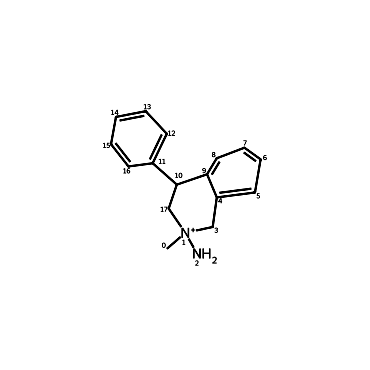 C[N+]1(N)Cc2ccccc2C(c2ccccc2)C1